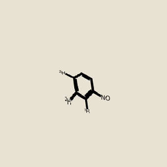 [2H]c1ccc(N=O)c([2H])c1[2H]